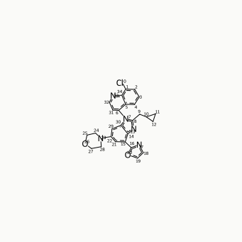 Clc1cccc2c(-n3c(CC4CC4)nc4c(-c5ncco5)cc(N5CCOCC5)cc43)ccnc12